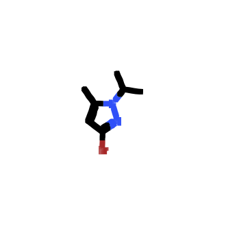 Cc1cc(Br)nn1C(C)C